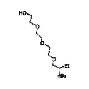 CCCCC(CC)COCCOCCOCCO